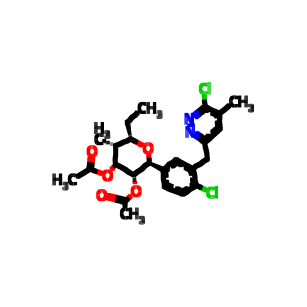 CC[C@H]1O[C@@H](c2ccc(Cl)c(Cc3cc(C)c(Cl)nn3)c2)[C@H](OC(C)=O)[C@@H](OC(C)=O)[C@@H]1C